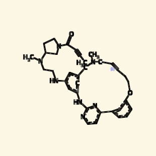 CC#CC(=O)N1CCC(N(C)CCNc2cc3cc(c2)Nc2nccc(n2)-c2cccc(c2)OCC/C=C/CN(C)C3)C1